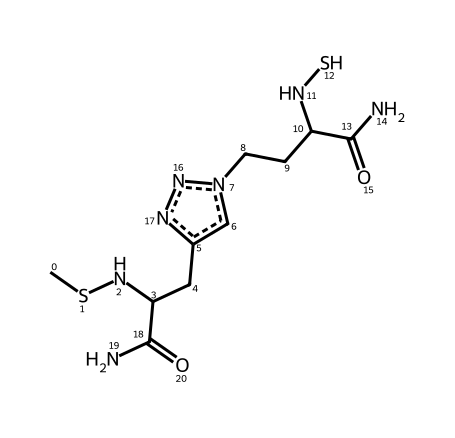 CSNC(Cc1cn(CCC(NS)C(N)=O)nn1)C(N)=O